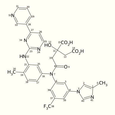 Cc1cn(-c2cc(N(C(=O)CC(O)(CC(=O)O)C(=O)O)c3ccc(C)c(Nc4nccc(-c5cccnc5)n4)c3)cc(C(F)(F)F)c2)cn1